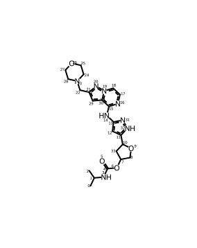 CC(C)NC(=O)OC1COC(c2cc(Nc3nccn4nc(CN5CCOCC5)cc34)n[nH]2)C1